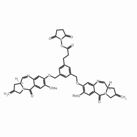 C=C1C[C@H]2C=Nc3cc(OCc4cc(CCC(=O)ON5C(=O)CCC5=O)cc(COc5cc6c(cc5OC)C(=O)N5CC(=C)C[C@H]5C=N6)c4)c(OC)cc3C(=O)N2C1